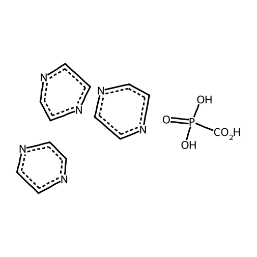 O=C(O)P(=O)(O)O.c1cnccn1.c1cnccn1.c1cnccn1